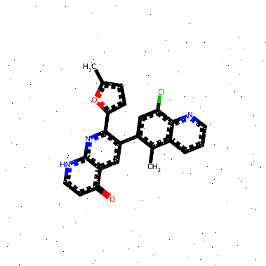 Cc1ccc(-c2nc3[nH]ccc(=O)c3cc2-c2cc(Cl)c3ncccc3c2C)o1